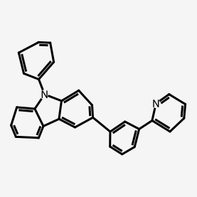 c1ccc(-n2c3ccccc3c3cc(-c4cccc(-c5ccccn5)c4)ccc32)cc1